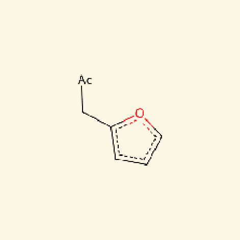 [CH2]C(=O)Cc1ccco1